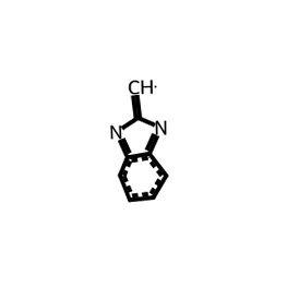 [CH]=C1N=c2ccccc2=N1